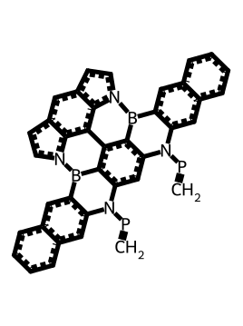 C=PN1c2cc3ccccc3cc2B2c3c1cc1c4c3-c3c5c(ccn52)cc2ccn(c32)B4c2cc3ccccc3cc2N1P=C